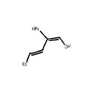 CC/C=C/C(=C\O)CCC